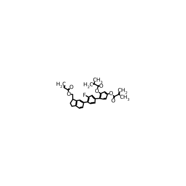 C=CC(=O)OCC1CCc2ccc(-c3ccc(-c4ccc(OC(=O)C(=C)C)cc4OC(=O)C(=C)C)cc3F)cc21